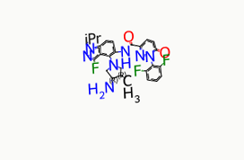 CC(C)n1nc(F)c2c(N3C[C@@H](C)[C@@H](N)C3)c(NC(=O)c3ccc(=O)n(-c4c(F)cccc4F)n3)ccc21